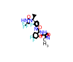 Cc1nocc1C(=O)N[C@H](c1nc2c(F)c([C@H](C3CC3)N3C[C@@H](C(F)(F)F)NC3=O)ccc2o1)C1CCC(F)(F)CC1